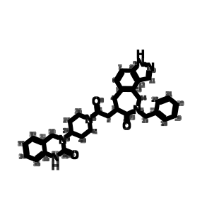 O=C(CC1Cc2ccc3[nH]ncc3c2CN(Cc2ccccc2)C1=O)N1CCC(N2Cc3ccccc3NC2=O)CC1